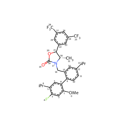 COc1cc(F)c(C(C)C)cc1-c1ccc(C(C)C)cc1CN1C(=O)OC(c2cc(C(F)(F)F)cc(C(F)(F)F)c2)[C@@H]1C